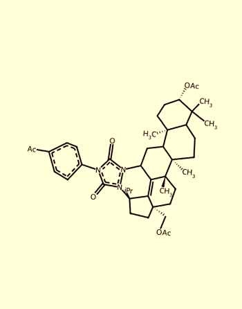 CC(=O)OC[C@]12CCC3(C(C)C)C1=C1C(CC4[C@@]5(C)CC[C@H](OC(C)=O)C(C)(C)C5CC[C@@]4(C)[C@]1(C)CC2)n1c(=O)n(-c2ccc(C(C)=O)cc2)c(=O)n13